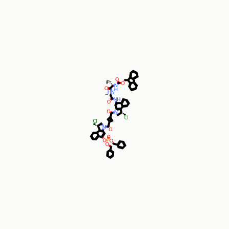 CC(C)[C@H](NC(=O)OCC1c2ccccc2-c2ccccc21)C(=O)N[C@@H](C)C(=O)Nc1cc2c(c3ccccc13)[C@H](CCl)CN2C(=O)C12CC(C(=O)N3C[C@@H](CCl)c4c3cc(OP(=O)(OCc3ccccc3)OCc3ccccc3)c3ccccc43)(C1)C2